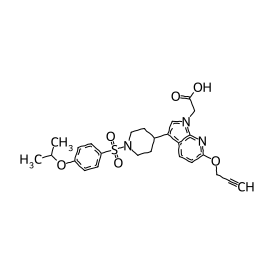 C#CCOc1ccc2c(C3CCN(S(=O)(=O)c4ccc(OC(C)C)cc4)CC3)cn(CC(=O)O)c2n1